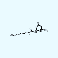 [C-]#[N+]CCCCCCNC(=O)Nc1nc(=O)cc(C)[nH]1